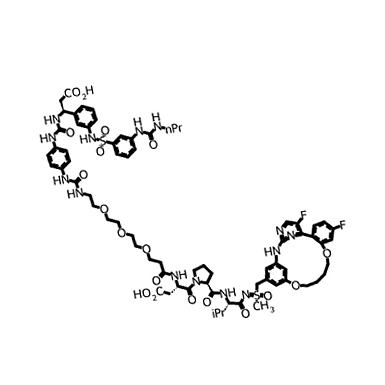 CCCNC(=O)Nc1cccc(S(=O)(=O)Nc2cccc([C@H](CC(=O)O)NC(=O)Nc3ccc(NC(=O)NCCOCCOCCOCCC(=O)N[C@@H](CC(=O)O)C(=O)N4CCC[C@H]4C(=O)N[C@H](C(=O)N=[S@@](C)(=O)Cc4cc5cc(c4)OCCCCOc4cc(F)ccc4-c4nc(ncc4F)N5)C(C)C)cc3)c2)c1